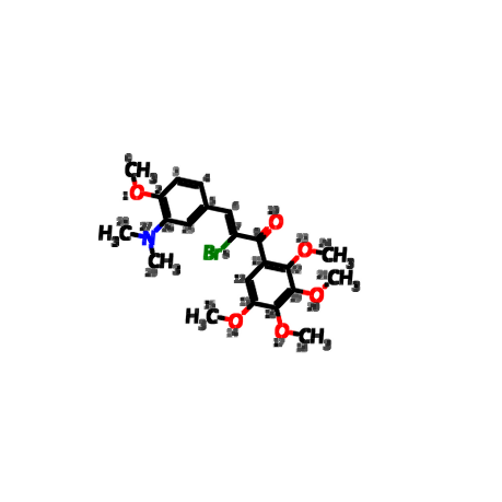 COc1ccc(C=C(Br)C(=O)c2cc(OC)c(OC)c(OC)c2OC)cc1N(C)C